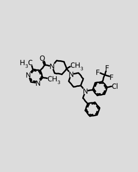 Cc1ncnc(C)c1C(=O)N1CCC(C)(N2CCC(N(Cc3ccccc3)c3ccc(Cl)c(C(F)(F)F)c3)CC2)CC1